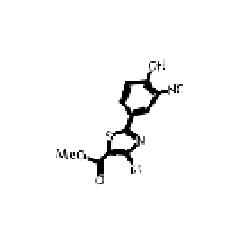 [C-]#[N+]c1cc(-c2nc(CC)c(C(=O)OC)s2)ccc1O